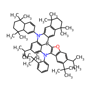 CC(C)c1cc2c3c(c1)N(c1ccccc1C(C)(C)C)c1c(oc4cc(C(C)C)c(C(C)(C)C)cc14)B3c1cc3c(cc1N2C1=CC2C(C=C1)C(C)(C)CCC2(C)C)C(C)(C)CCC3(C)C